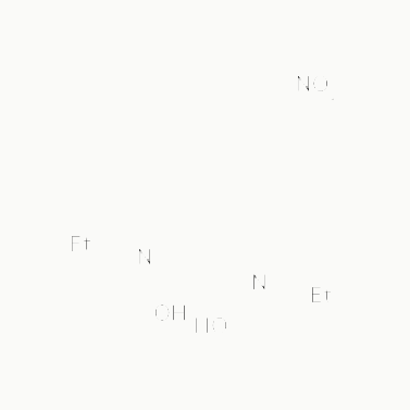 CCN(O)c1ccc([N+](=O)[O-])cc1N(O)CC